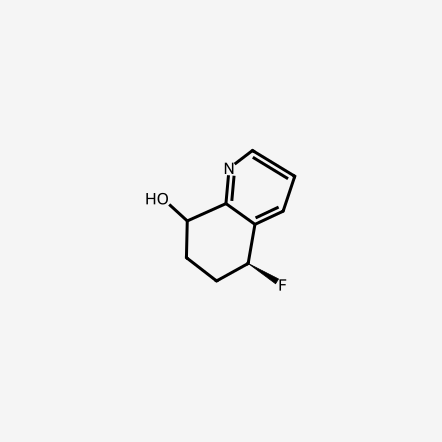 OC1CC[C@H](F)c2cccnc21